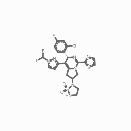 O=S1(=O)NCCN1[C@H]1CC2=C(c3ccn(C(F)F)n3)[C@H](c3ccc(F)cc3Cl)N=C(c3nccs3)N2C1